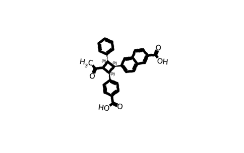 CC(=O)C1[C@H](c2ccccc2)[C@@H](c2ccc3cc(C(=O)O)ccc3c2)[C@H]1c1ccc(C(=O)O)cc1